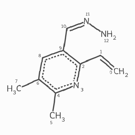 C=Cc1nc(C)c(C)cc1/C=N\N